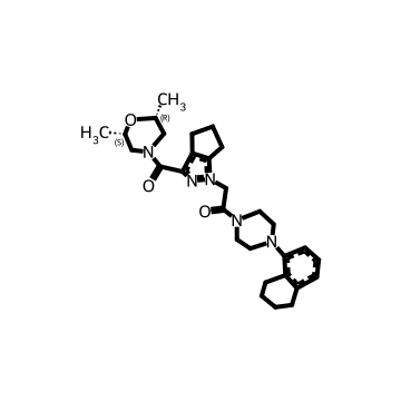 C[C@@H]1CN(C(=O)c2nn(CC(=O)N3CCN(c4cccc5c4CCCC5)CC3)c3c2CCC3)C[C@H](C)O1